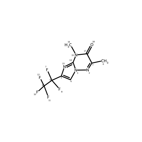 Cc1nn2cc(C(F)(F)C(F)(F)F)nc2n(C)c1=O